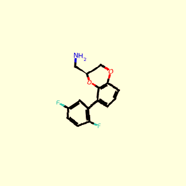 NC[C@H]1COc2cccc(-c3cc(F)ccc3F)c2O1